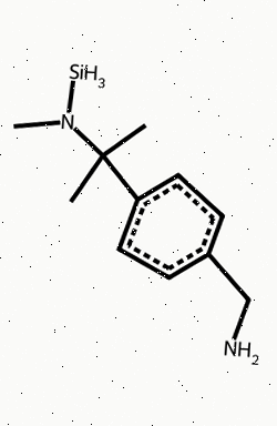 CN([SiH3])C(C)(C)c1ccc(CN)cc1